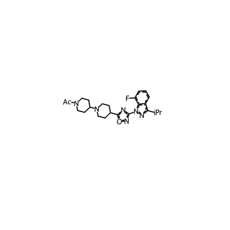 CC(=O)N1CCC(N2CCC(c3nc(-n4nc(C(C)C)c5cccc(F)c54)no3)CC2)CC1